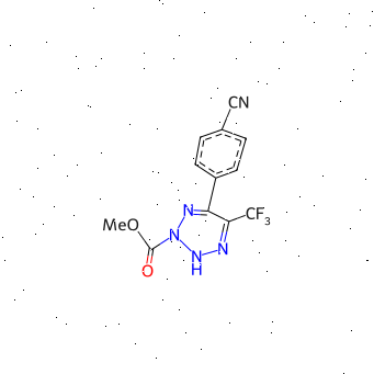 COC(=O)N1N=C(c2ccc(C#N)cc2)C(C(F)(F)F)=NN1